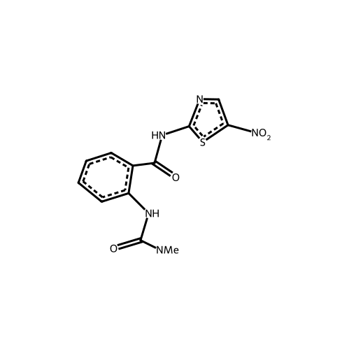 CNC(=O)Nc1ccccc1C(=O)Nc1ncc([N+](=O)[O-])s1